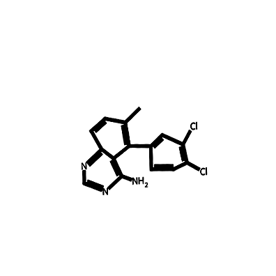 Cc1ccc2ncnc(N)c2c1-c1ccc(Cl)c(Cl)c1